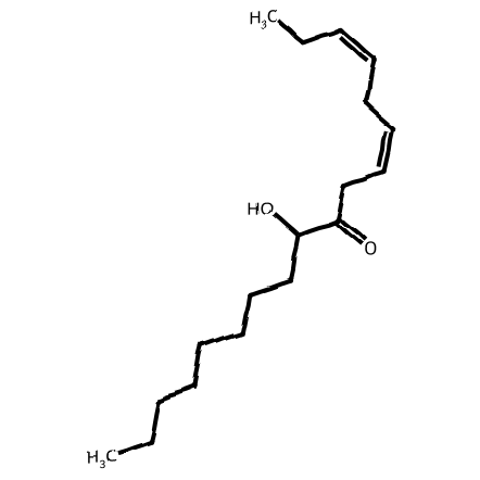 CC/C=C\C/C=C\CC(=O)C(O)CCCCCCCC